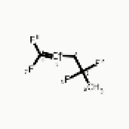 CC(F)(F)[CH2][Cf]=[C](F)F